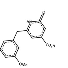 COc1cccc(Cc2cc(C(=O)O)cc(=O)[nH]2)c1